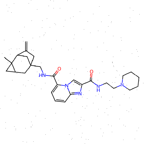 C=C1CC2(CNC(=O)c3cccc4nc(C(=O)NCCN5CCCCC5)cn34)CC3CC3(C)C1C2